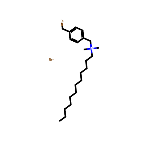 CCCCCCCCCCCC[N+](C)(C)Cc1ccc(CBr)cc1.[Br-]